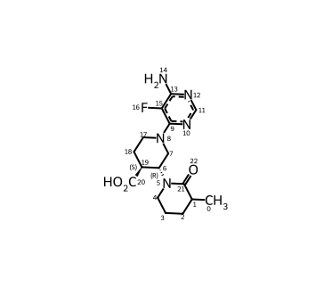 CC1CCCN([C@H]2CN(c3ncnc(N)c3F)CC[C@@H]2C(=O)O)C1=O